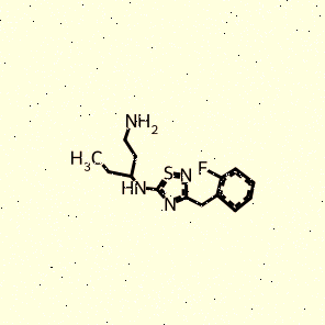 CCC(CCN)Nc1nc(Cc2ccccc2F)ns1